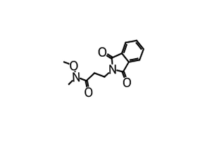 CON(C)C(=O)CCN1C(=O)c2ccccc2C1=O